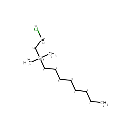 CCCCCCCC[Si](C)(C)[CH2][Sn][Cl]